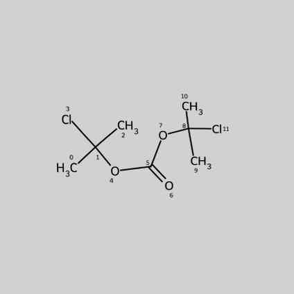 CC(C)(Cl)OC(=O)OC(C)(C)Cl